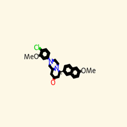 COc1ccc2cc([C@H]3CC(=O)CC4CN(c5ccc(Cl)c(OC)c5)CCN43)ccc2c1